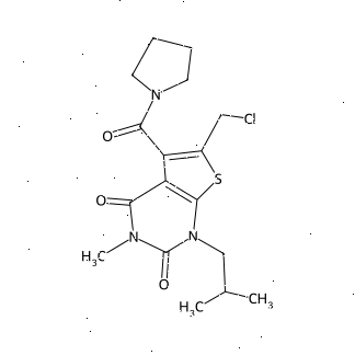 CC(C)Cn1c(=O)n(C)c(=O)c2c(C(=O)N3CCCC3)c(CCl)sc21